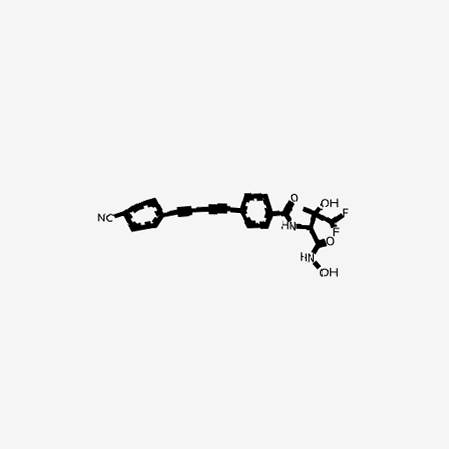 CC(O)(C(F)F)C(NC(=O)c1ccc(C#CC#Cc2ccc(C#N)cc2)cc1)C(=O)NO